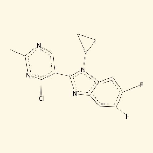 Cc1ncc(-c2nc3cc(F)c(F)cc3n2C2CC2)c(Cl)n1